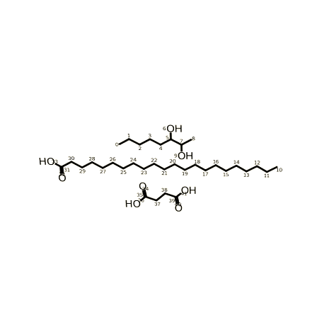 CCCCCC(O)C(C)O.CCCCCCCCCCCCCCCCCCCCCC(=O)O.O=C(O)CCC(=O)O